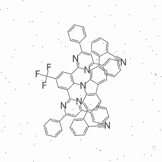 N#Cc1ccccc1-c1ccc2c3ccc(-c4ccccc4C#N)cc3n(-c3c(-c4nc(-c5ccccc5)cc(-c5ccccc5)n4)cc(C(F)(F)F)cc3-c3nc(-c4ccccc4)cc(-c4ccccc4)n3)c2c1